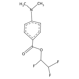 CN(C)c1ccc(C(=O)OC(F)C(F)F)cc1